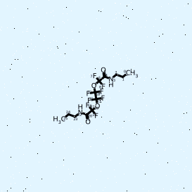 CCCNC(=O)C(F)(F)OC(F)(F)C(F)(F)OC(F)(F)C(=O)NCCC